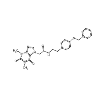 Cn1c(=O)c2c(ncn2CC(=O)NCCc2ccc(OCc3ccccc3)cc2)n(C)c1=O